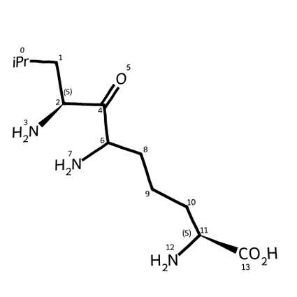 CC(C)C[C@H](N)C(=O)C(N)CCC[C@H](N)C(=O)O